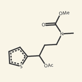 COC(=O)N(C)CCC(OC(C)=O)c1cccs1